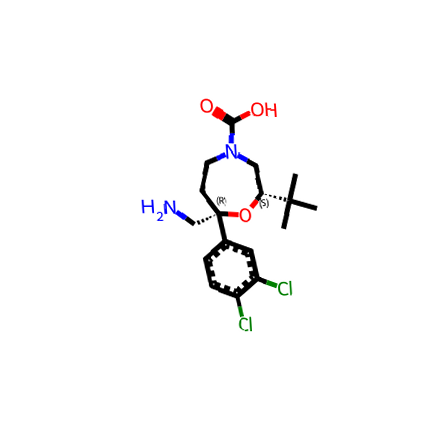 CC(C)(C)[C@H]1CN(C(=O)O)CC[C@](CN)(c2ccc(Cl)c(Cl)c2)O1